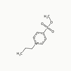 CCC[n+]1ccc(S(=O)(=O)OC)cc1